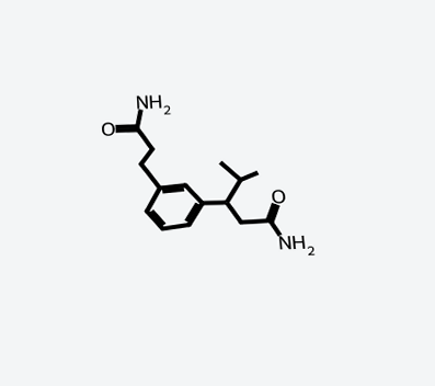 CC(C)C(CC(N)=O)c1cccc(CCC(N)=O)c1